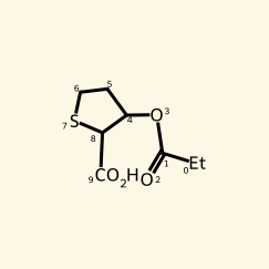 CCC(=O)OC1CCSC1C(=O)O